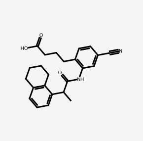 CC(C(=O)Nc1cc(C#N)ccc1CCCC(=O)O)c1cccc2c1CCCC2